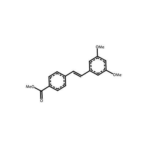 COC(=O)c1ccc(C=Cc2cc(OC)cc(OC)c2)cc1